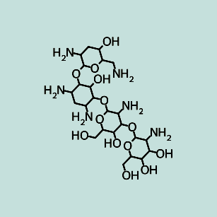 NCC1OC(OC2C(N)CC(N)C(OC3OC(CO)C(O)C(OC4OC(CO)C(O)C(O)C4N)C3N)C2O)C(N)CC1O